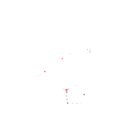 c1ccc(-c2cc(N(c3ccccc3-c3ccc(-c4cccc5ccccc45)cc3)c3cccc4ccccc34)ccc2-c2ccccc2-n2c3ccccc3c3ccccc32)cc1